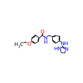 CCOc1ccc(C(=O)NCc2ccc(NC3=NCCN3)cc2)cc1